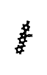 Oc1c2c(nn1-c1ccc(Br)cc1)CCN(CC1=CCCC=C1)C2